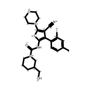 Cc1ccc(-c2c(NC(=O)N3CCCC(CO)C3)sc(N3CCOCC3)c2C#N)c(I)c1